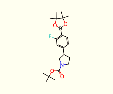 CC(C)(C)OC(=O)N1CCC(c2ccc(B3OC(C)(C)C(C)(C)O3)c(F)c2)C1